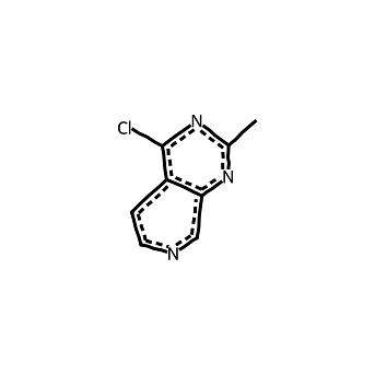 Cc1nc(Cl)c2ccncc2n1